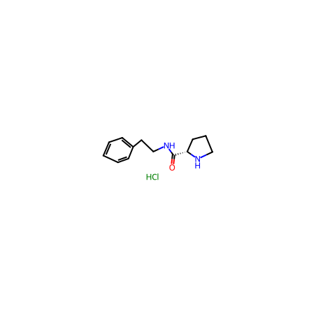 Cl.O=C(NCCc1ccccc1)[C@@H]1CCCN1